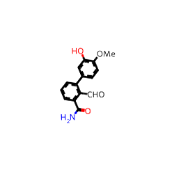 COc1ccc(-c2cccc(C(N)=O)c2C=O)cc1O